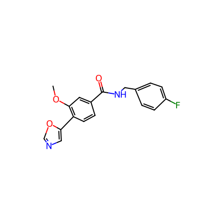 COc1cc(C(=O)NCc2ccc(F)cc2)ccc1-c1cnco1